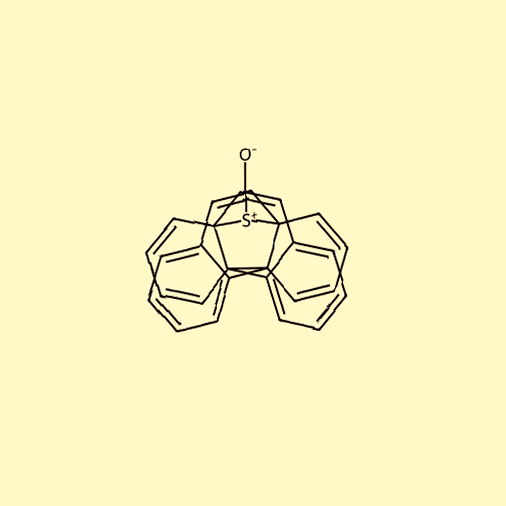 [O-][S+]1C23C=CC=CC2(c2ccccc2C=C3)C23C=CC=CC12C=Cc1ccccc13